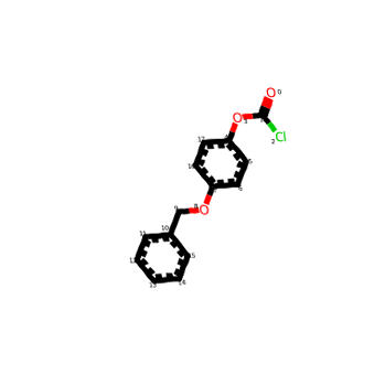 O=C(Cl)Oc1ccc(OCc2ccccc2)cc1